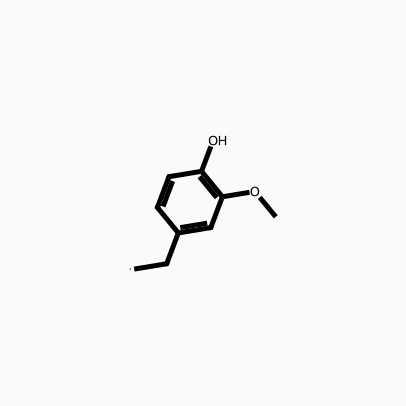 [CH2]Cc1ccc(O)c(OC)c1